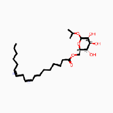 CCCCC/C=C\C/C=C\CCCCCCCC(=O)OC[C@H]1OC(OC(C)C)[C@H](O)[C@@H](O)[C@@H]1O